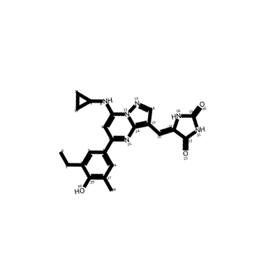 CCc1cc(-c2cc(NC3CC3)n3ncc(/C=C4\NC(=O)NC4=O)c3n2)cc(C)c1O